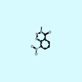 Cn1nnc2c([N+](=O)[O-])cccc2c1=O